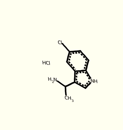 CC(N)c1c[nH]c2ccc(Cl)cc12.Cl